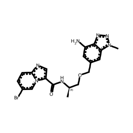 C[C@H](COCc1cc(N)c2nnn(C)c2c1)NC(=O)c1cnc2ccc(Br)cn12